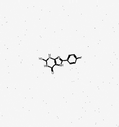 O=C1NC(S)Nc2nc(-c3ccc(F)cc3)[nH]c21